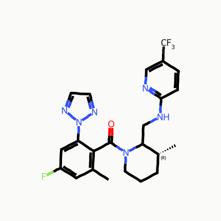 Cc1cc(F)cc(-n2nccn2)c1C(=O)N1CCC[C@@H](C)C1CNc1ccc(C(F)(F)F)cn1